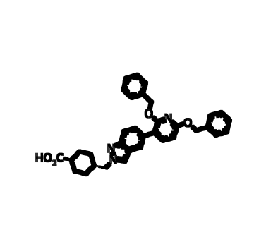 O=C(O)[C@H]1CC[C@H](Cn2cc3cc(-c4ccc(OCc5ccccc5)nc4OCc4ccccc4)ccc3n2)CC1